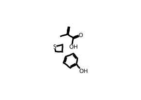 C1CSC1.C=C(C)C(=O)O.Oc1ccccc1